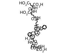 CC(C)(CCC(C)(C)C(=O)N[C@@H](Cc1ccccc1)C(=O)N[C@@H](Cc1ccccc1)C(=O)NC[C@H](N)C(=O)NC(CC(=O)O)C(=O)NC(CS)C(=O)O)NC(=O)CC[C@H](NC(=O)N[C@@H](CCC(=O)O)C(=O)O)C(=O)O